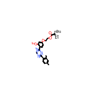 CCCCC(CC)C(=O)OCCOc1ccc(-c2ncnc(-c3ccc(C)cc3C)n2)c(O)c1